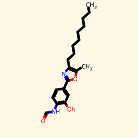 CCCCCCCCCc1nc(-c2ccc(NC=O)c(O)c2)oc1C